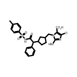 CCCCc1nc(Cl)c(C(=O)O)n1CC1CCC(C(C(=O)NS(=O)(=O)c2ccc(C)cc2)c2ccccc2)C1